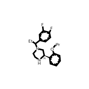 CCC(c1ccc(F)c(F)c1)N1CCN[C@H](c2ccccc2OC(C)C)C1